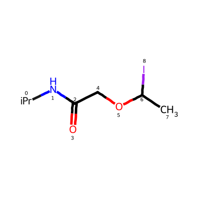 CC(C)NC(=O)COC(C)I